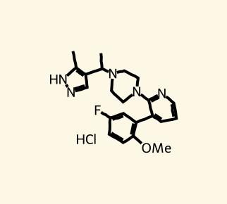 COc1ccc(F)cc1-c1cccnc1N1CCN(C(C)c2cn[nH]c2C)CC1.Cl